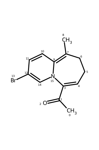 CC(=O)C1=CCCC(C)=C2C=CC(Br)=CN12